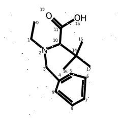 CCN(Cc1ccccc1)C(C(=O)O)C(C)(C)C